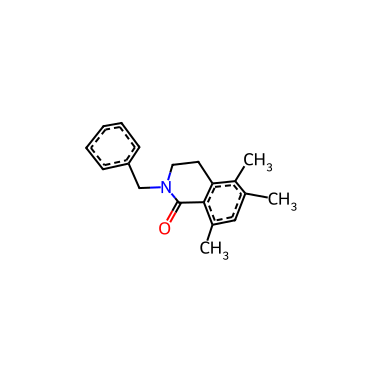 Cc1cc(C)c2c(c1C)CCN(Cc1ccccc1)C2=O